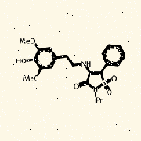 COc1cc(CCNC2=C(c3ccccc3)S(=O)(=O)N(C(C)C)C2=O)cc(OC)c1O